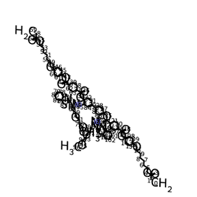 C=CC(=O)OCCCCCCOc1ccc(OC(=O)C2CCC(C(=O)Oc3ccc(-c4ccc(OC(=O)C5CCC(C(=O)Oc6ccc(OCCCCCCOC(=O)C=C)cc6)CC5)c(/C=N/N(CCOCCOC)c5nc6ccccc6s5)c4)cc3/C=N/N(CCOCCOC)c3nc4ccccc4s3)CC2)cc1